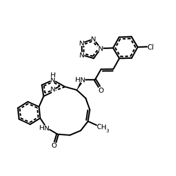 CC1=CC[C@H](NC(=O)/C=C/c2cc(Cl)ccc2-n2cnnn2)c2nc(c[nH]2)-c2ccccc2NC(=O)CC1